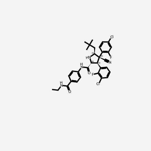 CCNC(=O)c1ccc(NC(=O)[C@@H]2N[C@@H](CC(C)(C)C)[C@](C#N)(c3ccc(Cl)cc3F)[C@H]2c2cccc(Cl)c2F)cc1